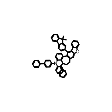 CC1(C)c2ccccc2-c2ccc(-c3c4c(cc5oc6ccccc6c35)CCC(Cc3ccccc3)c3c-4cccc3N(c3ccccc3)c3ccc(-c4ccccc4)cc3)cc21